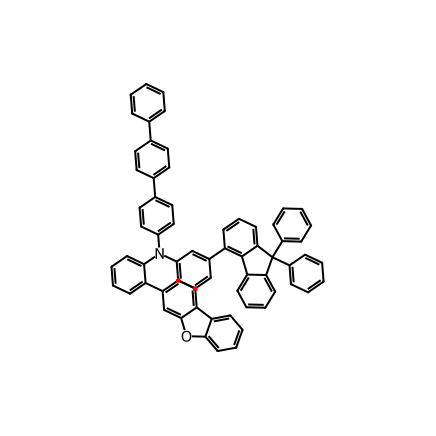 c1ccc(-c2ccc(-c3ccc(N(c4cccc(-c5cccc6c5-c5ccccc5C6(c5ccccc5)c5ccccc5)c4)c4ccccc4-c4ccc5c(c4)oc4ccccc45)cc3)cc2)cc1